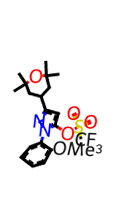 COc1ccccc1-n1nc(C2CC(C)(C)OC(C)(C)C2)cc1OS(=O)(=O)C(F)(F)F